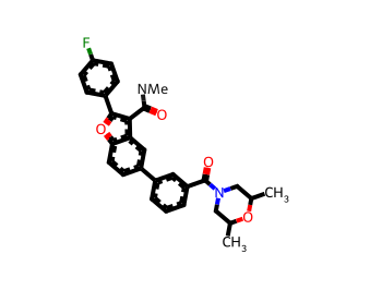 CNC(=O)c1c(-c2ccc(F)cc2)oc2ccc(-c3cccc(C(=O)N4CC(C)OC(C)C4)c3)cc12